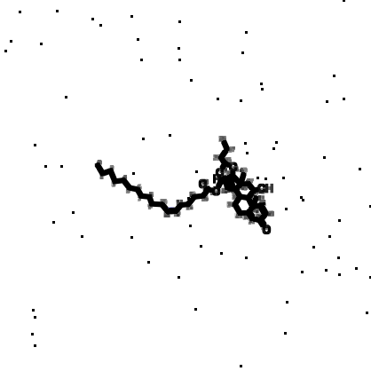 CCCCCCCCCCC/C=C\CCCCC(=O)OCC(=O)[C@@]12OC(CCC)O[C@@H]1CC1C3CCC4=CC(=O)C=CC4(C)C3C(O)CC12C